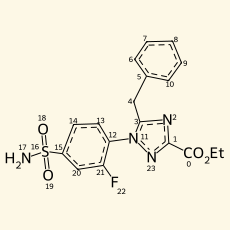 CCOC(=O)c1nc(Cc2ccccc2)n(-c2ccc(S(N)(=O)=O)cc2F)n1